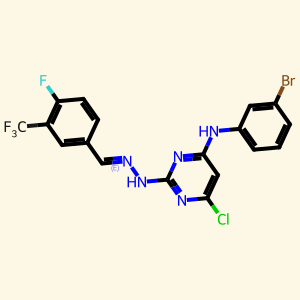 Fc1ccc(/C=N/Nc2nc(Cl)cc(Nc3cccc(Br)c3)n2)cc1C(F)(F)F